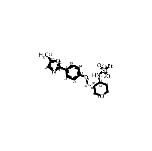 CCS(=O)(=O)N[C@H]1CCOC[C@@H]1COc1ccc(-c2ncc(C)o2)cc1